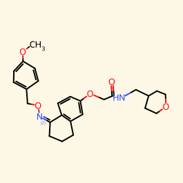 COc1ccc(CO/N=C2/CCCc3cc(OCC(=O)NCC4CCOCC4)ccc32)cc1